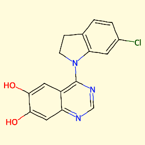 Oc1cc2ncnc(N3CCc4ccc(Cl)cc43)c2cc1O